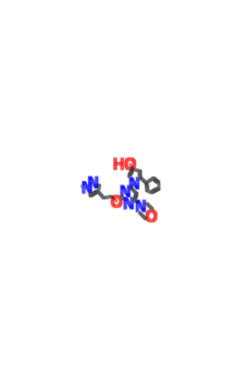 Cn1cc(CCOc2nc(N3CCOCC3)cc(-n3cc(O)cc3-c3ccccc3)n2)cn1